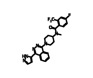 CN(C(=O)c1ccc(F)cc1C(F)(F)F)C1CCN(c2nnc(-c3ccn[nH]3)c3ccccc23)CC1